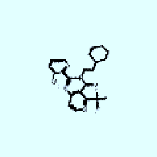 Cc1cccnc1-c1nc2ccnc(C(F)(F)F)c2c(=O)n1CCC1CCCCC1